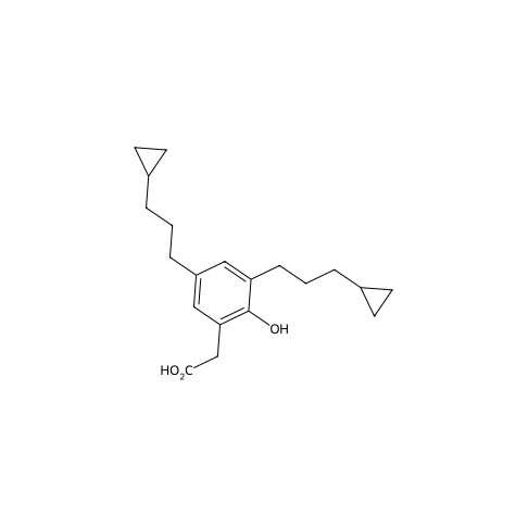 O=C(O)Cc1cc(CCCC2CC2)cc(CCCC2CC2)c1O